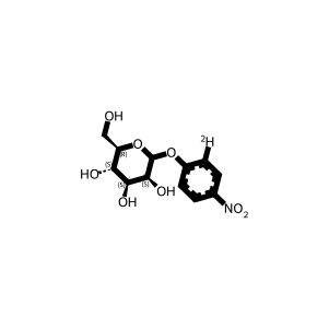 [2H]c1cc([N+](=O)[O-])ccc1OC1O[C@H](CO)[C@@H](O)[C@H](O)[C@@H]1O